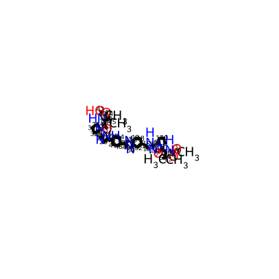 COC(=O)N[C@H](C(=O)N1CCC[C@H]1c1ncc(-c2ccc3nc(-c4ccc(-c5cnc([C@@H]6CCCN6C(=O)[C@@H](NC(=O)O)C(C)C)[nH]5)cc4)cnc3c2)[nH]1)C(C)C